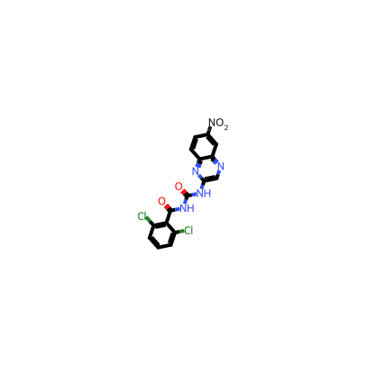 O=C(NC(=O)c1c(Cl)cccc1Cl)Nc1cnc2cc([N+](=O)[O-])ccc2n1